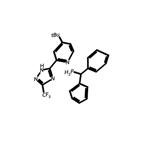 CC(C)(C)c1ccnc(-c2nc(C(F)(F)F)n[nH]2)c1.PC(c1ccccc1)c1ccccc1